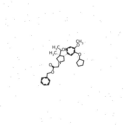 COc1ccc([C@@H]2CN(CC(=O)OCc3ccccc3)C[C@@]2(C)[C@@H](C)O)cc1OC1CCCC1